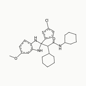 COc1ccc2c(c1)NC(c1ccc(Cl)s1)(C(C(=O)NC1CCCCC1)C1CCCCC1)N2